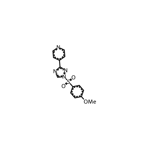 COc1ccc(S(=O)(=O)n2cnc(-c3ccncc3)n2)cc1